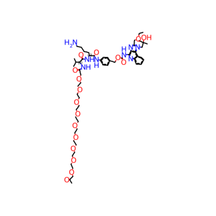 CCOCc1nc2c(NC(=O)OCc3ccc(NC(=O)[C@H](CCCCN)NC(=O)[C@@H](NC(=O)COCCOCCOCCOCCOCCOCCOCCOCCOCC(C)=O)C(C)C)cc3)nc3ccccc3c2n1CC(C)(C)O